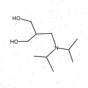 CC(C)N(CC(CO)CO)C(C)C